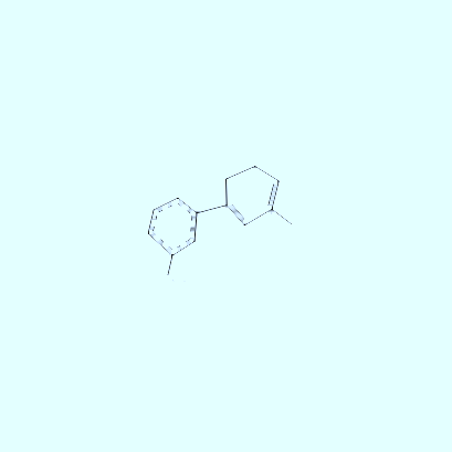 COc1cccc(C2=CC(C(F)(F)F)=CC[CH]2)c1